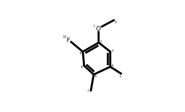 COc1cc(C)c(C)cc1F